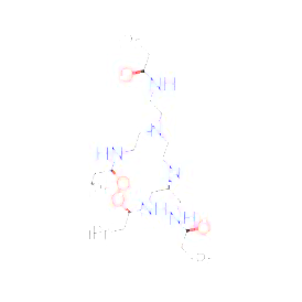 CC(C)CC(=O)NCCN(CCN=C(CNC(=O)CC(C)C)CNC(=O)CC(C)C)CCNC(=O)CC(C)C